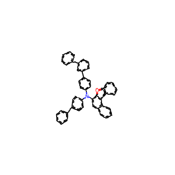 c1ccc(-c2ccc(N(c3ccc(-c4cccc(-c5ccccc5)c4)cc3)c3cc4ccccc4c4c3oc3ccccc34)cc2)cc1